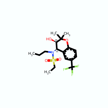 CCCN([C@H]1c2cc(C(F)(F)F)ccc2OC(C)(C)[C@@H]1O)S(=O)(=O)CC